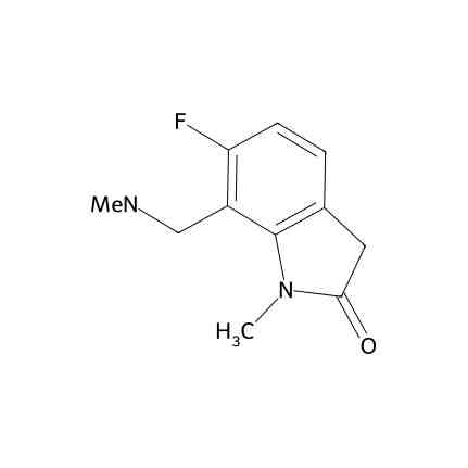 CNCc1c(F)ccc2c1N(C)C(=O)C2